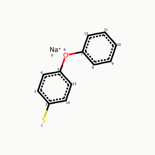 [Na+].[S-]c1ccc(Oc2ccccc2)cc1